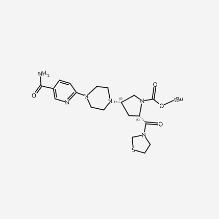 CC(C)(C)OC(=O)N1C[C@@H](N2CCN(c3ccc(C(N)=O)cn3)CC2)C[C@H]1C(=O)N1CCSC1